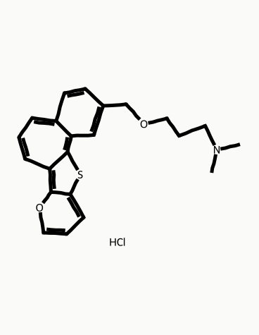 CN(C)CCCOCc1ccc2c(c1)=c1sc3c(c1C=CC=2)OC=CC=3.Cl